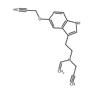 C#CCOc1ccc2[nH]cc(CCN(C=C)CC#C)c2c1